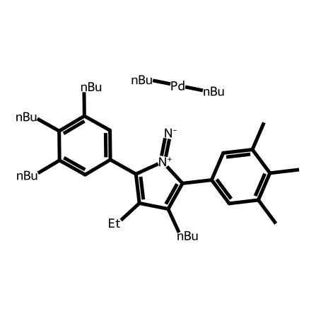 CCCCC1=C(c2cc(C)c(C)c(C)c2)[N+](=[N-])C(c2cc(CCCC)c(CCCC)c(CCCC)c2)=C1CC.CCC[CH2][Pd][CH2]CCC